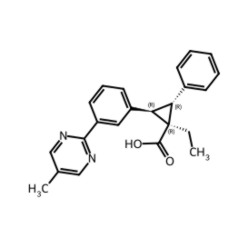 CC[C@@]1(C(=O)O)[C@@H](c2ccccc2)[C@@H]1c1cccc(-c2ncc(C)cn2)c1